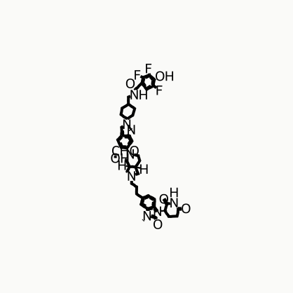 Cn1c(=O)n([C@@H]2CCC(=O)NC2=O)c2ccc(CCCN3C[C@H]4CCN(c5ccc6cn(C7CCC(CNC(=O)c8cc(F)c(O)c(F)c8F)CC7)nc6c5)C[C@H]4C3)cc21.O=CO